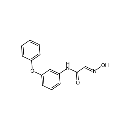 O=C(/C=N/O)Nc1cccc(Oc2ccccc2)c1